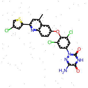 Cc1cc(-c2cc(Cl)cs2)nc2ccc(Oc3c(Cl)cc(-n4nc(N)c(=O)[nH]c4=O)cc3Cl)cc12